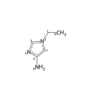 CCn1cnc(N)c1